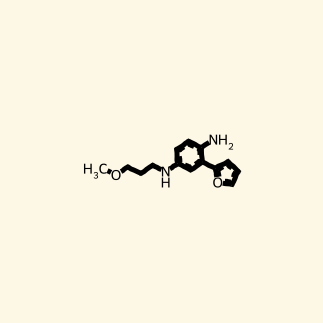 COCCCNc1ccc(N)c(-c2ccco2)c1